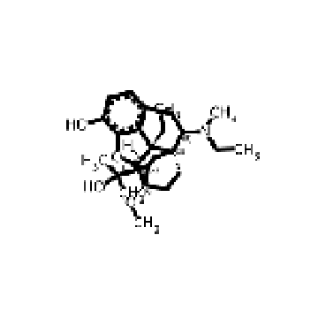 CCN(C)[C@@H]1Cc2ccc(O)c3c2[C@@]2(CC)[C@@H](O3)[C@]3(OC)CC[C@@]12C[C@@H]3C(C)(C)O